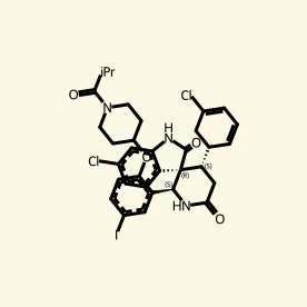 CC(C)C(=O)N1CCC(Oc2ccc(I)cc2[C@@H]2NC(=O)C[C@@H](C3C=CC=C(Cl)C3)[C@]23C(=O)Nc2cc(Cl)ccc23)CC1